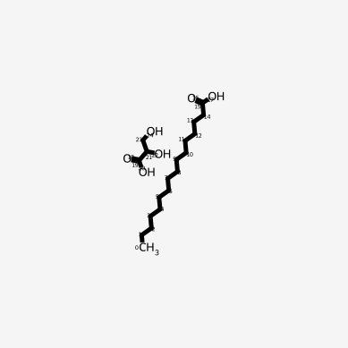 CCCCCCCCCCCCCCCC(=O)O.O=C(O)C(O)CO